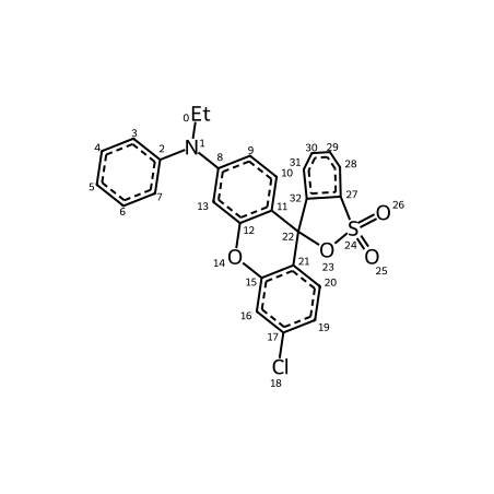 CCN(c1ccccc1)c1ccc2c(c1)Oc1cc(Cl)ccc1C21OS(=O)(=O)c2ccccc21